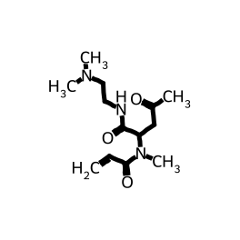 C=CC(=O)N(C)C(CC(C)=O)C(=O)NCCN(C)C